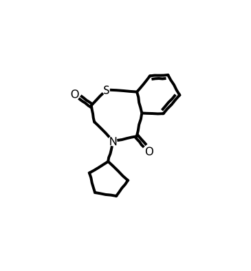 O=C1CN(C2CCCC2)C(=O)C2C=CC=CC2S1